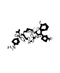 COC(=O)N[C@H](C(=O)N[C@@H](C)CCC[C@@H](CO)N(C(C)C)S(=O)(=O)c1ccc(N)cc1)C(c1cccc(F)c1)c1cccc(F)c1